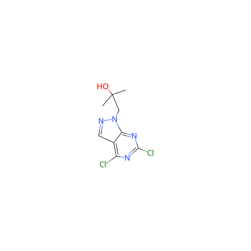 CC(C)(O)Cn1ncc2c(Cl)nc(Cl)nc21